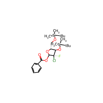 CC(C)(C)[Si](C)(C)OC[C@H]1OC(OC(=O)c2ccccc2)[C@](F)(Cl)[C@@H]1O[Si](C)(C)C(C)(C)C